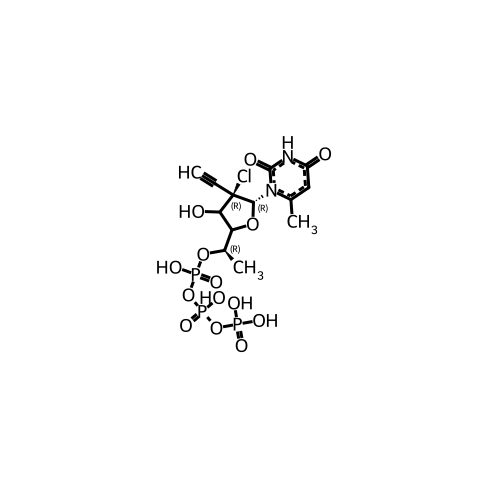 C#C[C@@]1(Cl)C(O)C([C@@H](C)OP(=O)(O)OP(=O)(O)OP(=O)(O)O)O[C@H]1n1c(C)cc(=O)[nH]c1=O